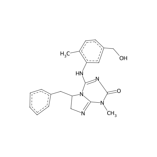 Cc1ccc(CO)cc1NC1=NC(=O)N(C)C2=NCC(Cc3ccccc3)N12